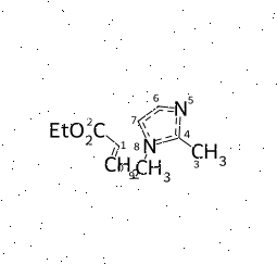 C=CC(=O)OCC.Cc1nccn1C